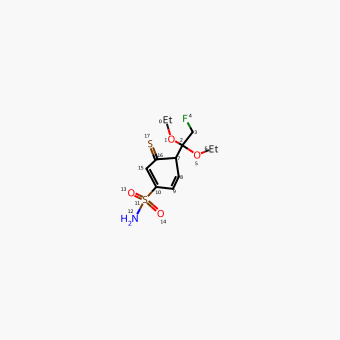 CCOC(CF)(OCC)C1C=CC(S(N)(=O)=O)=CC1=S